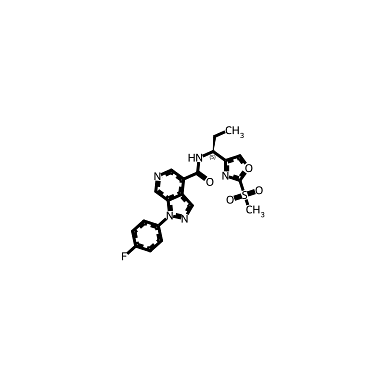 CC[C@H](NC(=O)c1cncc2c1cnn2-c1ccc(F)cc1)c1coc(S(C)(=O)=O)n1